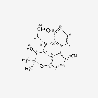 CC1(C)Oc2ccc(C#N)cc2C(N(C[C]=O)c2ccccc2)C1O